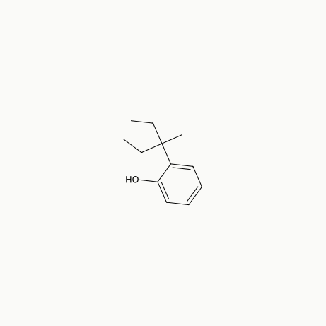 CCC(C)(CC)c1ccccc1O